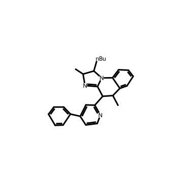 CCCCC1C(C)N=C2C(c3cc(-c4ccccc4)ccn3)C(C)c3ccccc3N21